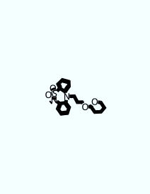 CN1c2ccccc2N(CCCOC2CCCCO2)c2ccccc2S1(=O)=O